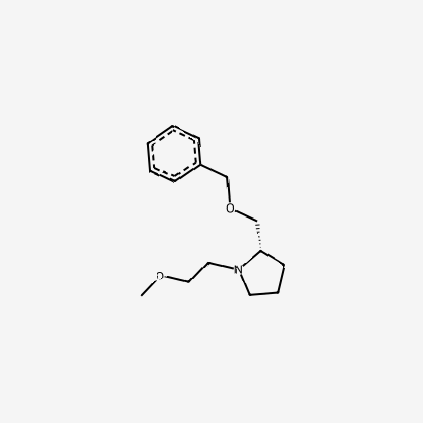 COCCN1CCC[C@H]1COCc1ccccc1